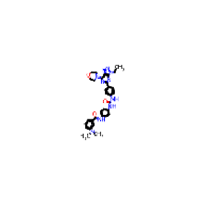 CCn1nnc2c(N3CCOCC3)nc(-c3ccc(NC(=O)Nc4ccc(NC(=O)c5cccc(N(C)C)c5)cc4)cc3)nc21